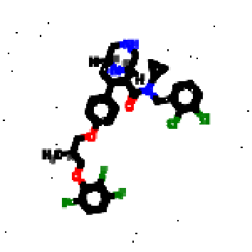 C[C@@H](COc1ccc(C2=C(C(=O)N(Cc3cccc(Cl)c3Cl)C3CC3)[C@H]3CNC[C@@H](C2)N3)cc1)COc1c(F)ccc(F)c1F